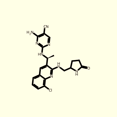 C[C@H](Nc1ncc(C#N)c(N)n1)c1cc2cccc(Cl)c2nc1NCC1CCC(=O)N1